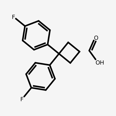 Fc1ccc(C2(c3ccc(F)cc3)CCC2)cc1.O=CO